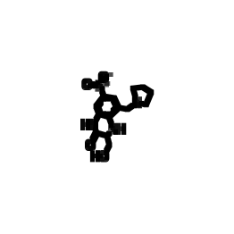 O=C1Nc2cc([N+](=O)[O-])cc(CN3CCCC3)c2NC1CO